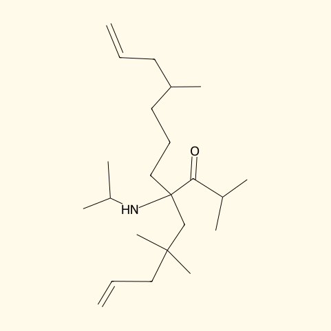 C=CCC(C)CCCC(CC(C)(C)CC=C)(NC(C)C)C(=O)C(C)C